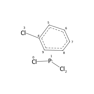 Cl[P]Cl.Clc1ccccc1